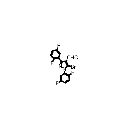 O=Cc1c(-c2cc(F)ccc2F)nn(-c2cc(F)ccc2F)c1Br